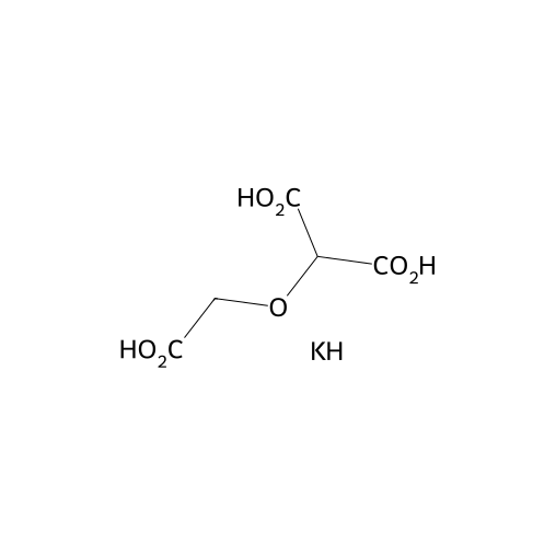 O=C(O)COC(C(=O)O)C(=O)O.[KH]